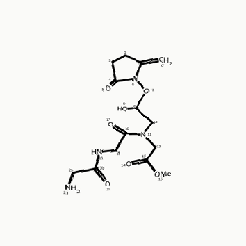 C=C1CCC(=O)N1OC(O)CN(CC(=O)OC)C(=O)CNC(=O)CN